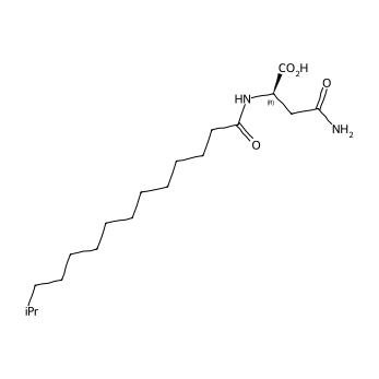 CC(C)CCCCCCCCCCCC(=O)N[C@H](CC(N)=O)C(=O)O